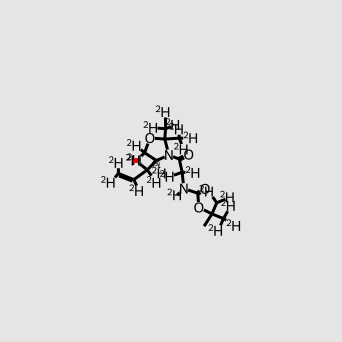 [2H]C([2H])=C([2H])C([2H])([2H])[C@]1([2H])N(C(=O)C([2H])([2H])N([2H])C(=O)OC(C)(C([2H])[2H])C([2H])([2H])[2H])C(C([2H])([2H])[2H])(C([2H])([2H])[2H])OC1([2H])[2H]